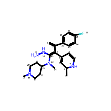 C=C(/C(C1=CC(C)NC=C1)=C(\NN)N(C)C1CCN(C)CC1)c1ccc(F)cc1